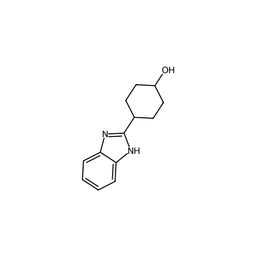 OC1CCC(c2nc3ccccc3[nH]2)CC1